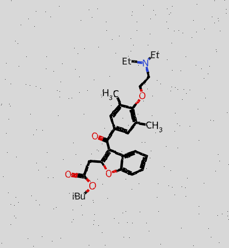 CCC(C)OC(=O)Cc1oc2ccccc2c1C(=O)c1cc(C)c(OCCN(CC)CC)c(C)c1